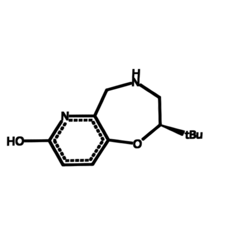 CC(C)(C)[C@@H]1CNCc2nc(O)ccc2O1